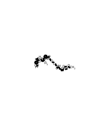 C=CC(=O)N1CCN(c2ccc(CCC(=O)NCCOCCOCCNC(=O)c3cccc(-c4nc(NC(=O)C5(c6ccc7c(c6)OC(F)(F)O7)CC5)ccc4C)c3)o2)C(=O)C1